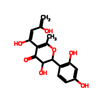 C=C(O)/C=C(/O)C1=C(C)OC(c2ccc(O)cc2O)C(O)C1=O